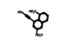 CCCCC#Cc1cc(C(=O)O)cc2cccc(C(=O)O)c12